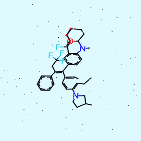 C/C=C(\C=C/C(=C/CC)N1CCC(C)C1)C(=C(/CC(F)(F)F)c1ccccc1)/c1ccc(N(C)C2CCCCO2)c(/C(F)=C/CC)c1